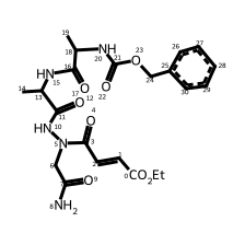 CCOC(=O)/C=C/C(=O)N(CC(N)=O)NC(=O)C(C)NC(=O)C(C)NC(=O)OCc1ccccc1